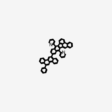 c1ccc(-c2cc3c4ccccc4c(-c4ccc5c(-c6ccccn6)c6c(c(-c7ccccn7)c5c4)-c4cc5ccccc5c5cccc-6c45)cc3c3ccccc23)cc1